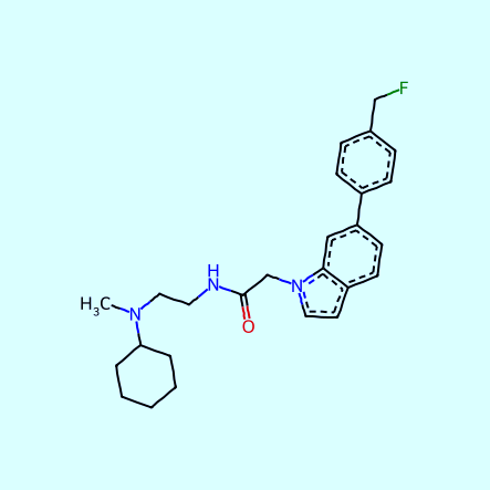 CN(CCNC(=O)Cn1ccc2ccc(-c3ccc(CF)cc3)cc21)C1CCCCC1